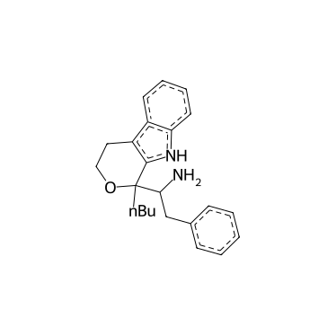 CCCCC1(C(N)Cc2ccccc2)OCCc2c1[nH]c1ccccc21